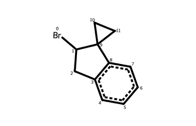 BrC1Cc2ccccc2C12CC2